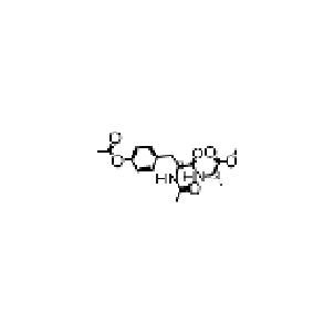 COC(=O)[C@H](C)NC(=O)[C@H](Cc1ccc(OC(C)=O)cc1)NC(C)=O